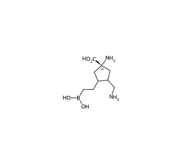 NCC1C[C@](N)(C(=O)O)CC1CCB(O)O